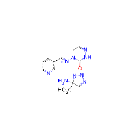 CC1=NNC(=O)N(/N=C/c2cccnc2)C1.NC1(C(=O)O)C=NN=N1